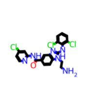 NCCn1c(Nc2c(Cl)cccc2Cl)nc2cc(C(=O)Nc3cc(Cl)ccn3)ccc21